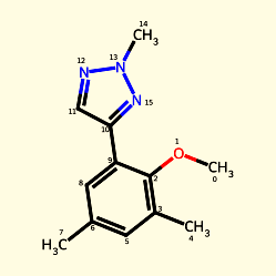 COc1c(C)cc(C)cc1-c1cnn(C)n1